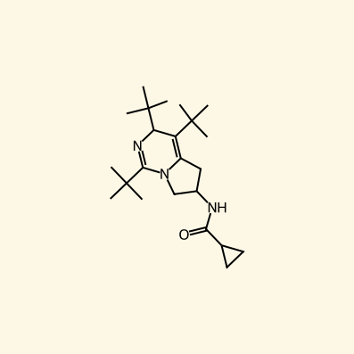 CC(C)(C)C1=NC(C(C)(C)C)C(C(C)(C)C)=C2CC(NC(=O)C3CC3)CN12